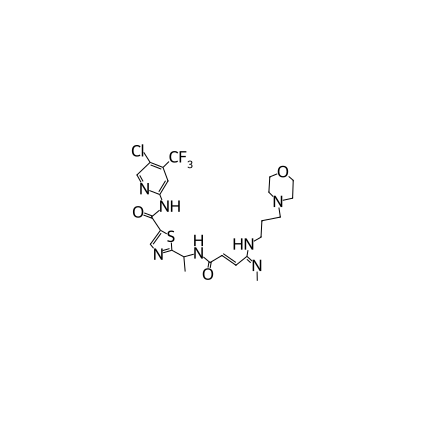 C/N=C(\C=C\C(=O)NC(C)c1ncc(C(=O)Nc2cc(C(F)(F)F)c(Cl)cn2)s1)NCCCN1CCOCC1